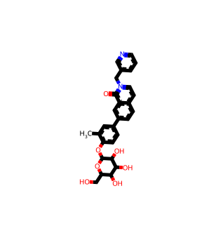 Cc1cc(-c2ccc3ccn(Cc4cccnc4)c(=O)c3c2)ccc1OC1OC(CO)C(O)C(O)C1O